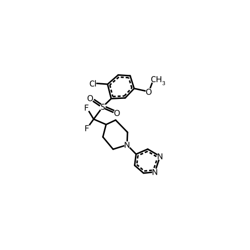 COc1ccc(Cl)c(S(=O)(=O)C(F)(F)C2CCN(c3ccnnc3)CC2)c1